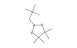 CC1(C)OB(C[Si](C)(C)C)OC1(C)C